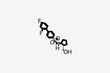 O=S(=O)(NC1CCC[C@@H]1CO)c1ccc(-c2ccc(F)cc2F)cc1